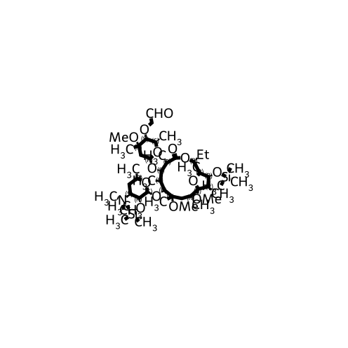 CC[C@H]1OC(=O)[C@H](C)[C@@H](O[C@H]2C[C@@](C)(OC)[C@@H](OCC=O)[C@H](C)O2)[C@H](C)[C@@H](O[C@@H]2O[C@H](C)C[C@H](N(C)C)[C@H]2O[Si](C)(C)C)[C@](C)(OC)C[C@@H](C)[C@]2(OC)O[C@@]1(C)[C@H](O[Si](C)(C)C)[C@H]2C